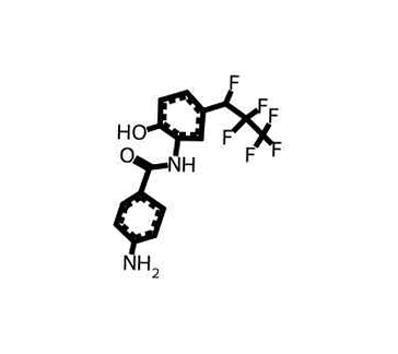 Nc1ccc(C(=O)Nc2cc(C(F)C(F)(F)C(F)(F)F)ccc2O)cc1